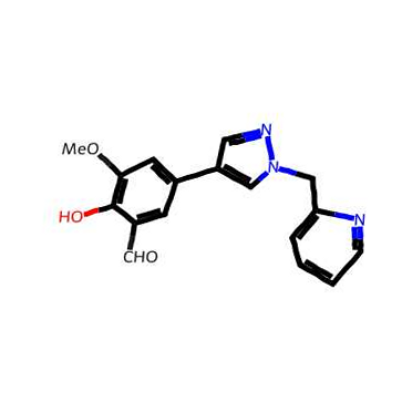 COc1cc(-c2cnn(Cc3ccccn3)c2)cc(C=O)c1O